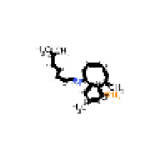 C=C1/C=C\C=C/CC(/N=C/C=C\C=C\C(C)C)c2cc(C)cc(P)c21